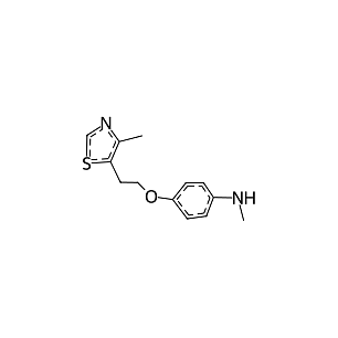 CNc1ccc(OCCc2scnc2C)cc1